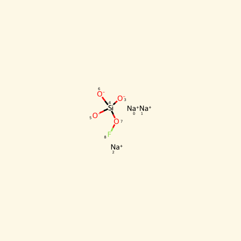 [Na+].[Na+].[Na+].[O-][Si]([O-])([O-])OF